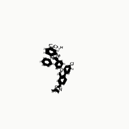 Cc1cnc(-c2ccc(-c3ccc(Cl)cc3)c(COc3ccc(-c4nc5cc(C(=O)O)ccc5n4C4CCCCC4)cc3)c2)s1